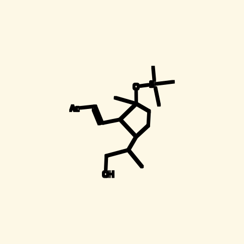 CC(=O)C=CC1C(C(C)CO)CCC1(C)O[Si](C)(C)C